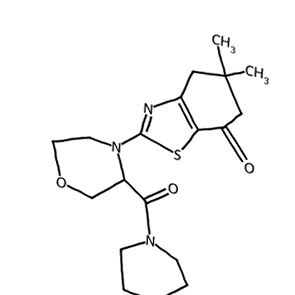 CC1(C)CC(=O)c2sc(N3CCOCC3C(=O)N3CCCCC3)nc2C1